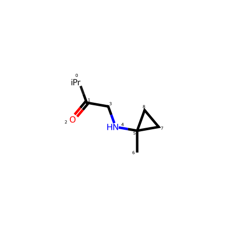 CC(C)C(=O)CNC1(C)CC1